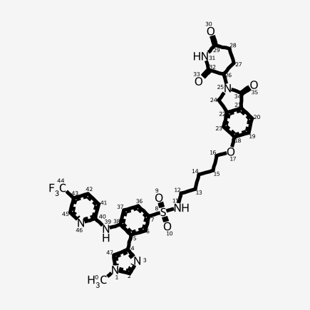 Cn1cnc(-c2cc(S(=O)(=O)NCCCCCOc3ccc4c(c3)CN(C3CCC(=O)NC3=O)C4=O)ccc2Nc2ccc(C(F)(F)F)cn2)c1